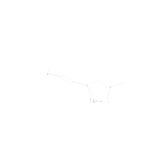 Cc1cc(C#C[C@@H](C)O)no1